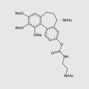 COc1cc2c(c(OC)c1OC)-c1ccc(OC(=O)NCCNC(C)=O)cc1[C@@H](NC(C)=O)CC2